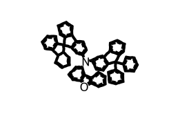 C1=CC2c3ccccc3C3(c4ccccc4-c4ccc(N(c5ccc6c(c5)-c5ccccc5C6(c5ccccc5)c5ccccc5)c5cccc6oc7ccccc7c56)cc43)C2C=C1